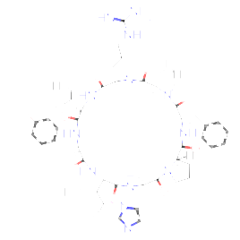 CC[C@H](C)[C@@H]1NC(=O)[C@H](Cc2ccc(O)cc2)NC(=O)[C@H](C(C)C)NC(=O)[C@H](CCCNC(=N)N)NC(=O)[C@H](C)N(C)C(=O)[C@H](Cc2ccccc2)NC(=O)[C@@H]2CCCN2C(=O)[C@H](Cc2cnc[nH]2)NC1=O